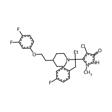 CCC(Cc1ccc(F)cc1)(c1c(Cl)c(=O)[nH]n1C)N1CCC(CCOc2ccc(F)c(F)c2)CC1